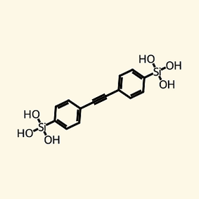 O[Si](O)(O)c1ccc(C#Cc2ccc([Si](O)(O)O)cc2)cc1